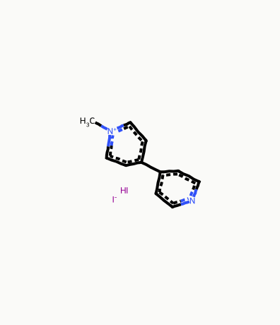 C[n+]1ccc(-c2ccncc2)cc1.I.[I-]